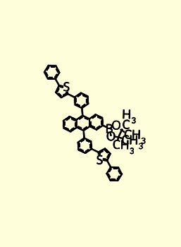 CC1(C)OB(c2ccc3c(-c4cccc(-c5ccc(-c6ccccc6)s5)c4)c4ccccc4c(-c4cccc(-c5ccc(-c6ccccc6)s5)c4)c3c2)OC1(C)C